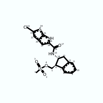 CS(=O)(=O)OC[C@@H]1c2ccccc2C[C@H]1NC(=O)c1cc2cc(Cl)sc2[nH]1